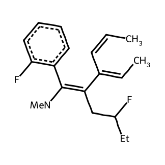 C\C=C/C(=C\C)C(/CC(F)CC)=C(/NC)c1ccccc1F